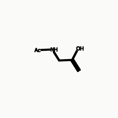 C=C(O)CNC(C)=O